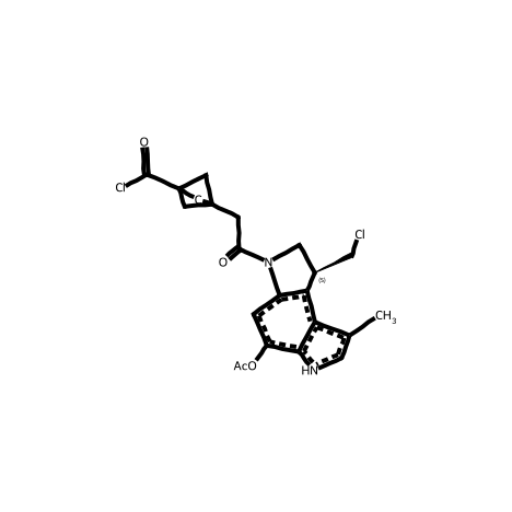 CC(=O)Oc1cc2c(c3c(C)c[nH]c13)[C@H](CCl)CN2C(=O)CC12CC(C(=O)Cl)(C1)C2